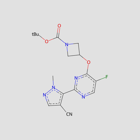 Cn1ncc(C#N)c1-c1ncc(F)c(OC2CN(C(=O)OC(C)(C)C)C2)n1